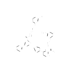 NC(=O)c1nccc(-c2ccc(F)cc2)c1OCCOc1cc(F)cc(Br)c1.O=C(NOCCOc1cc(Br)ccc1F)c1cc(-c2ccc(F)cc2)ccn1